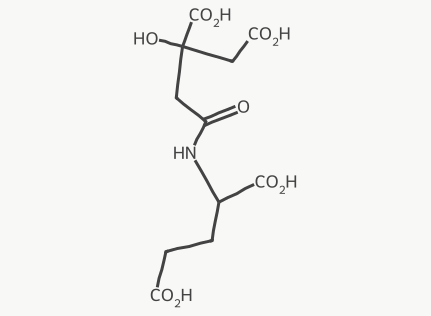 O=C(O)CCC(NC(=O)CC(O)(CC(=O)O)C(=O)O)C(=O)O